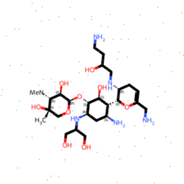 CN[C@@H]1[C@@H](O)[C@@H](O[C@H]2[C@H](NC(CO)CO)C[C@H](N)C([C@H]3OC(CN)=CC[C@H]3NCC(O)CCN)[C@@H]2O)OC[C@]1(C)O